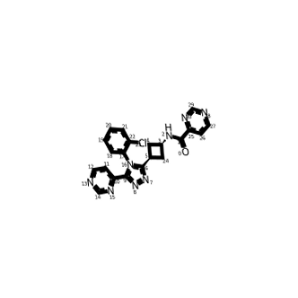 O=C(N[C@H]1C[C@H](c2nnc(-c3ccncn3)n2-c2ccccc2Cl)C1)c1ccncn1